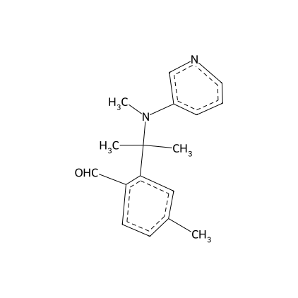 Cc1ccc(C=O)c(C(C)(C)N(C)c2cccnc2)c1